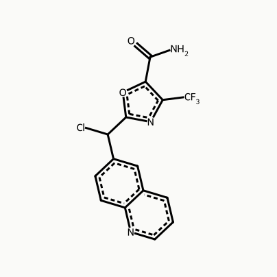 NC(=O)c1oc(C(Cl)c2ccc3ncccc3c2)nc1C(F)(F)F